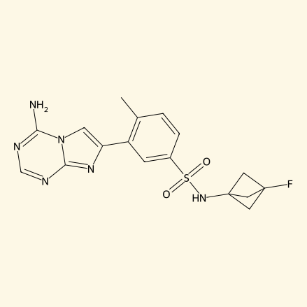 Cc1ccc(S(=O)(=O)NC23CC(F)(C2)C3)cc1-c1cn2c(N)ncnc2n1